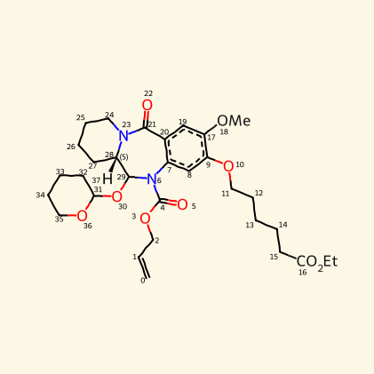 C=CCOC(=O)N1c2cc(OCCCCCC(=O)OCC)c(OC)cc2C(=O)N2CCCC[C@H]2C1OC1CCCCO1